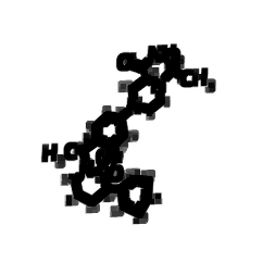 CC(=O)N1CCN(c2ccc(C(C)N3CCCC(c4ccccc4)S3(=O)=O)c(F)c2)C[C@H]1C(N)=O